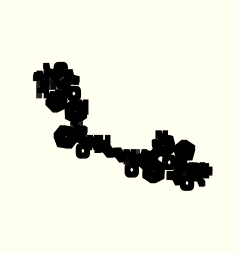 CN[C@@H](C)C(=O)N[C@H](C(=O)N1CCC[C@H]1c1cncc(C2C=C(C(=O)NCCCCCNC(=O)c3cn(-c4cncc([C@@H]5CCCN5C(=O)[C@@H](NC(=O)[C@H](C)NC)C(C)C)c4)c4ccccc34)c3ccccc32)c1)C(C)C